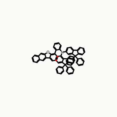 c1ccc(C2(c3ccccc3)c3ccccc3-c3ccc(N(c4ccccc4-c4cccc5c4oc4cc6ccccc6cc45)c4cccc5c4-c4ccccc4C5(c4ccccc4)c4ccccc4)cc32)cc1